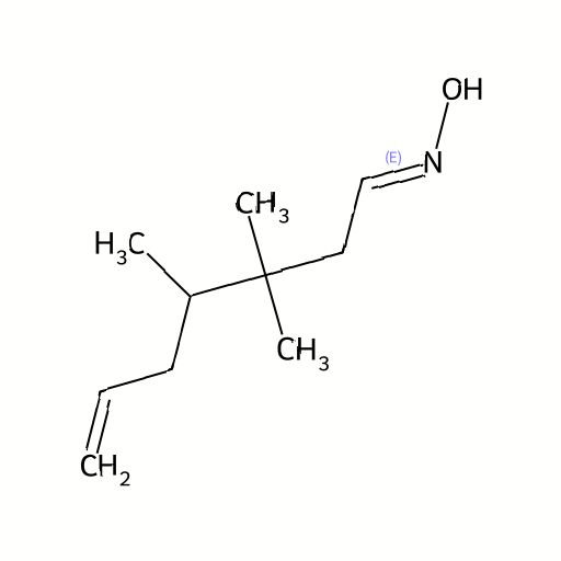 C=CCC(C)C(C)(C)C/C=N/O